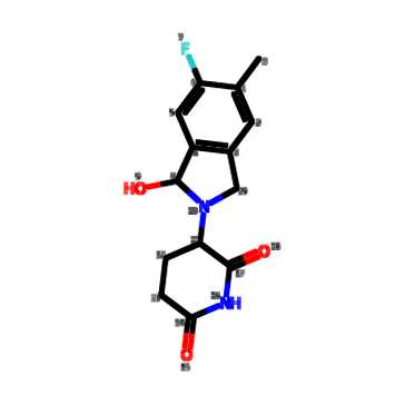 Cc1cc2c(cc1F)C(O)N(C1CCC(=O)NC1=O)C2